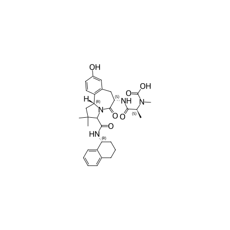 C[C@@H](C(=O)N[C@H]1Cc2cc(O)ccc2[C@H]2CC(C)(C)C(C(=O)N[C@@H]3CCCc4ccccc43)N2C1=O)N(C)C(=O)O